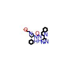 COCCN1C[C@@H](NC(=O)Nc2cc3ccccc3nc2-c2cncnc2)[C@H](c2ccccc2)C1